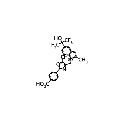 Cc1oc(-c2ccc(C(=O)O)cc2)nc1Cn1c(C)cc2cc(C(O)(C(F)(F)F)C(F)(F)F)ccc21